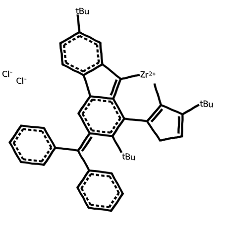 CC1=C(c2c(C(C)(C)C)c(=C(c3ccccc3)c3ccccc3)cc3c2=[C]([Zr+2])c2cc(C(C)(C)C)ccc2-3)CC=C1C(C)(C)C.[Cl-].[Cl-]